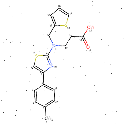 Cc1ccc(-c2csc(N(CCC(=O)O)Cc3cccs3)n2)cc1